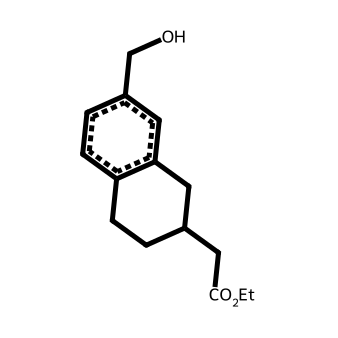 CCOC(=O)CC1CCc2ccc(CO)cc2C1